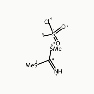 CS(=O)(=O)Cl.CSC(=N)SC